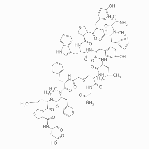 CCCC[C@@H](C(=O)N1CSC[C@@H]1C(=O)N[C@H](C=O)CC(=O)O)N(C)C(=O)[C@H](Cc1ccccc1)N(C)C(=O)[C@H](Cc1ccccc1)NC(=O)CSC[C@H](NC(=O)[C@H](CC(C)C)NC(=O)[C@H](Cc1ccc(O)cc1)NC(=O)[C@H](Cc1c[nH]c2ccccc12)NC(=O)[C@H]1CSCN1C(=O)[C@H](Cc1ccc(O)cc1)NC(=O)C(Cc1ccccc1)N(C)C(=O)[C@H](C)N)C(=O)NCC(N)=O